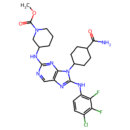 COC(=O)N1CCCC(Nc2ncc3nc(Nc4ccc(Cl)c(F)c4F)n(C4CCC(C(N)=O)CC4)c3n2)C1